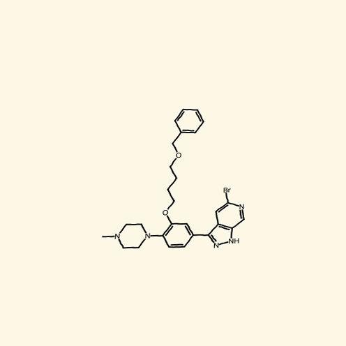 CN1CCN(c2ccc(-c3n[nH]c4cnc(Br)cc34)cc2OCCCCOCc2ccccc2)CC1